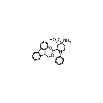 NC1(C(=O)O)CCN(c2ccccc2)C(C(=O)OCC2c3ccccc3-c3ccccc32)C1